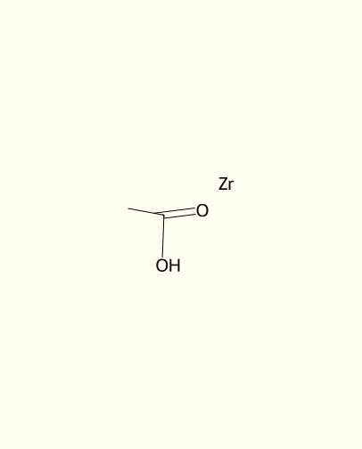 CC(=O)O.[Zr]